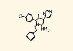 CC1C(c2ccncn2)CC(N)N(CCc2ccccc2)C1c1ccc(Cl)cc1